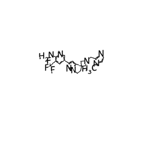 Cn1ccnc1CN1CC2(CCn3nc(-c4cnc(N)c(C(F)(F)F)c4)cc32)C1